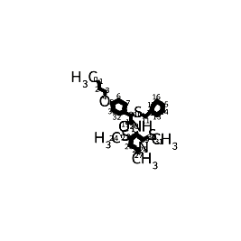 CCCCOc1ccc(C(SCc2ccccc2)C(=O)Nc2c(SC)cc(C)nc2SC)cc1